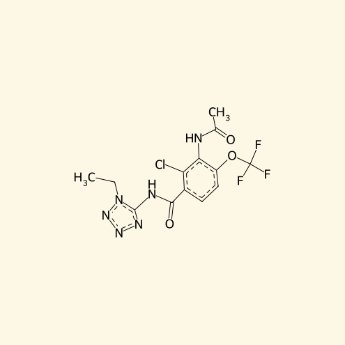 CCn1nnnc1NC(=O)c1ccc(OC(F)(F)F)c(NC(C)=O)c1Cl